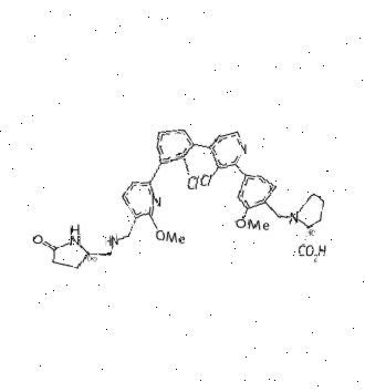 COc1cc(-c2nccc(-c3cccc(-c4ccc(CNC[C@H]5CCC(=O)N5)c(OC)n4)c3Cl)c2Cl)ccc1CN1CCC[C@@H]1C(=O)O